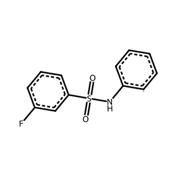 O=S(=O)(Nc1[c]cccc1)c1cccc(F)c1